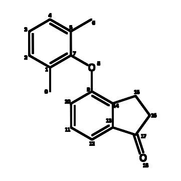 Cc1cccc(C)c1Oc1cccc2c1CCC2=O